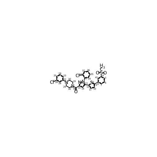 CS(=O)(=O)c1cccc(-c2ccc(-c3cc(C(=O)N4CCN(c5cccc(Cl)c5)CC4)nn3-c3ccccc3Cl)s2)c1